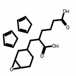 C1=CCC=C1.C1=CCC=C1.O=C(O)CCCC(CC1CCC2OC2C1)C(=O)O